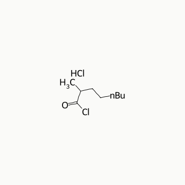 CCCCCCC(C)C(=O)Cl.Cl